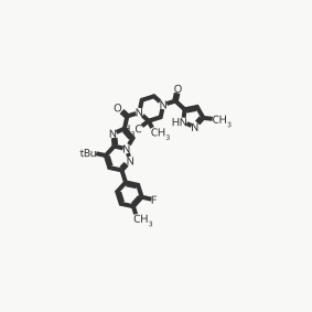 Cc1cc(C(=O)N2CCN(C(=O)c3cn4nc(-c5ccc(C)c(F)c5)cc(C(C)(C)C)c4n3)C(C)(C)C2)[nH]n1